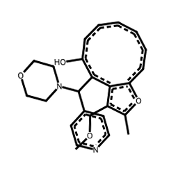 COCc1c(C)oc2ccccccc(O)c(C(c3ccncc3)N3CCOCC3)c12